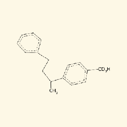 CC(CCc1ccccc1)c1ccc(C(=O)O)cc1